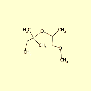 CCC(C)(C)OC(C)COC